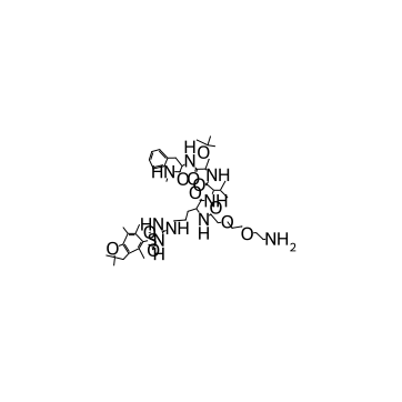 CNC(=O)C(Cc1ccccc1)NC(=O)C(COC(C)(C)C)NC(=O)C(NC(=O)C(CCCNC(=N)NS(=O)(=O)c1c(C)c(C)c2c(c1C)CC(C)(C)O2)NC(=O)COCCOCCN)C(C)C